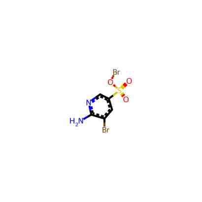 Nc1ncc(S(=O)(=O)OBr)cc1Br